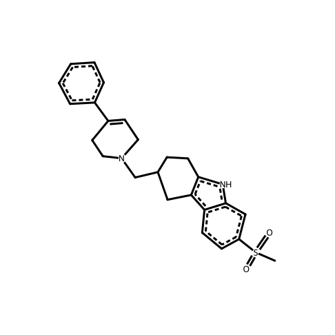 CS(=O)(=O)c1ccc2c3c([nH]c2c1)CCC(CN1CC=C(c2ccccc2)CC1)C3